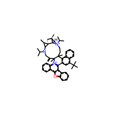 C=C1CN(C(C)C)C2C(C)[C@]23C[C@@]2(C)[C@@H]3[N+]2(C(C)C)CCC2(C)c3c(cc(C(C)(C)C)c4ccccc34)-c3c4c5ccccc5oc4c4ccccc4[n+]3C12C